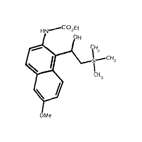 CCOC(=O)Nc1ccc2cc(OC)ccc2c1C(O)C[Si](C)(C)C